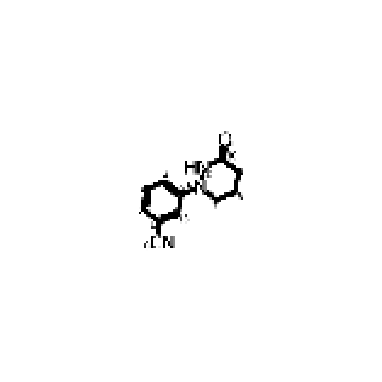 N#Cc1cccc(N2CCCC(=O)N2)c1